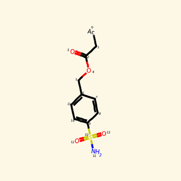 CC(=O)CC(=O)OCc1ccc(S(N)(=O)=O)cc1